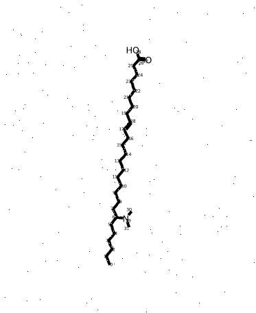 CCCCCCC(CCCCCCCCCCC=CCCCCCCCC(=O)O)N(C)C